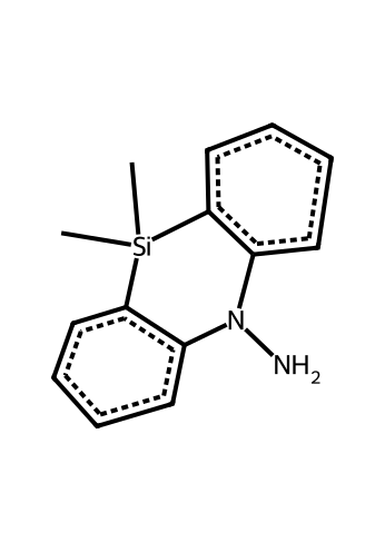 C[Si]1(C)c2ccccc2N(N)c2ccccc21